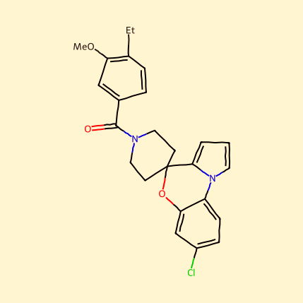 CCc1ccc(C(=O)N2CCC3(CC2)Oc2cc(Cl)ccc2-n2cccc23)cc1OC